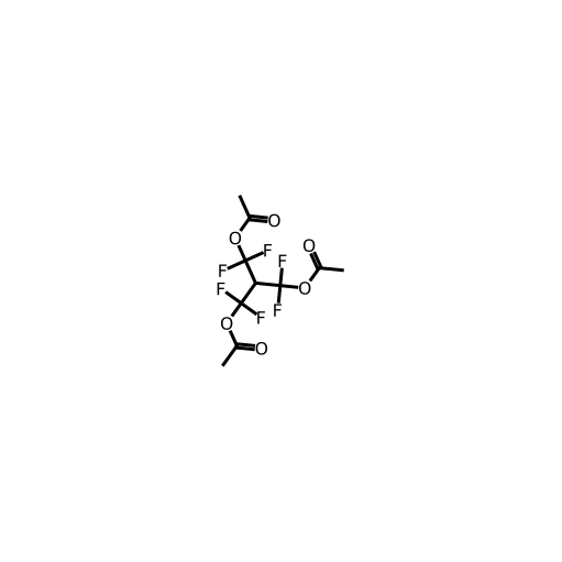 CC(=O)OC(F)(F)C(C(F)(F)OC(C)=O)C(F)(F)OC(C)=O